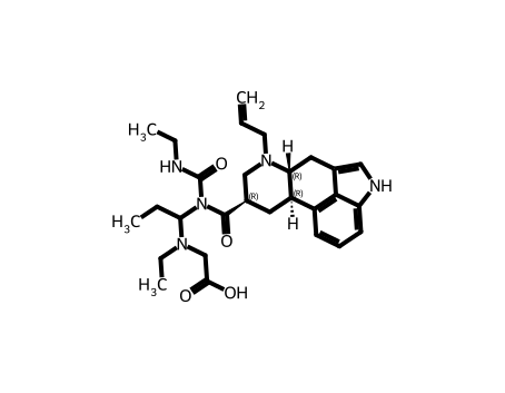 C=CCN1C[C@H](C(=O)N(C(=O)NCC)C(CC)N(CC)CC(=O)O)C[C@@H]2c3cccc4[nH]cc(c34)C[C@H]21